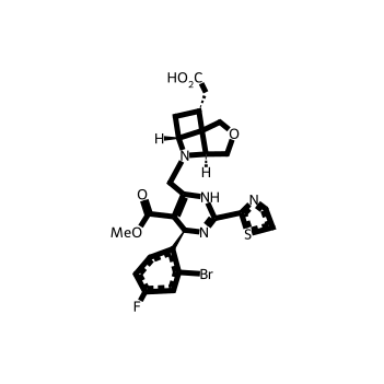 COC(=O)C1=C(CN2[C@@H]3COCC34[C@@H](CC(=O)O)C[C@@H]24)NC(c2nccs2)=N[C@H]1c1ccc(F)cc1Br